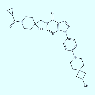 O=C(C1CC1)N1CCC(O)(Cn2cnc3c(cnn3-c3ccc(N4CCC5(CC4)CC(O)C5)cc3)c2=O)CC1